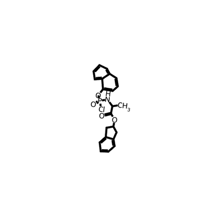 CC(NP(=O)(Cl)Oc1cccc2ccccc12)C(=O)OC1Cc2ccccc2C1